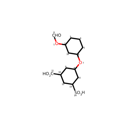 O=COC1CCCC(OC2CC(C(=O)O)CC(S(=O)(=O)O)C2)C1